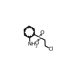 Nc1ccccc1S(=O)(=O)CCCl